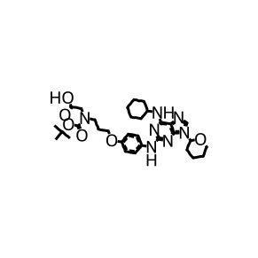 CC(C)(C)OC(=O)N(CCCOc1ccc(Nc2nc(NC3CCCCC3)c3ncn(C4CCCCO4)c3n2)cc1)CC(=O)O